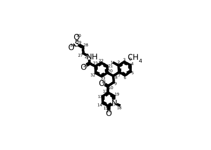 C.Cc1ccccc1C(CC(=O)c1ccc(=O)n(C)c1)c1ccc(C(=O)NCC=S(=O)=O)cc1